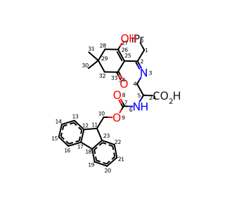 CC(C)CC(=NCC(NC(=O)OCC1c2ccccc2-c2ccccc21)C(=O)O)C1=C(O)CC(C)(C)CC1=O